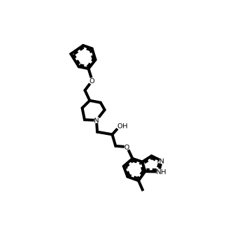 Cc1ccc(OCC(O)CN2CCC(COc3ccccc3)CC2)c2cn[nH]c12